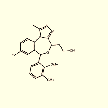 COc1cccc(C2SC(CCO)c3nnc(C)n3-c3ccc(Cl)cc32)c1OC